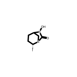 O=C1N(O)C2CC[C@@H](I)N1C2